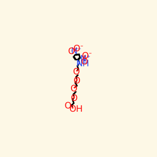 O=C(O)CCOCCOCCOCCOCCNc1ccc([N+](=O)[O-])cc1[N+](=O)[O-]